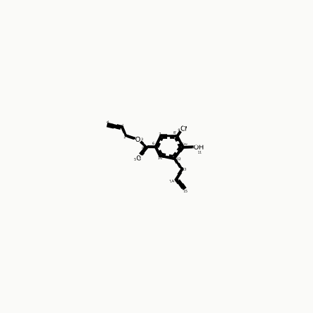 C=CCOC(=O)c1cc(Cl)c(O)c(CC=C)c1